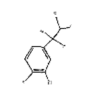 Fc1ccc(C(F)(Br)C(F)F)cc1Cl